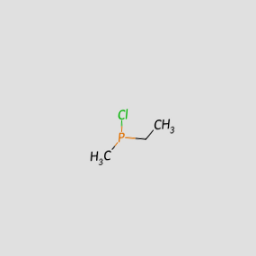 CCP(C)Cl